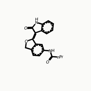 CCCC(=O)Nc1ccc2c(c1)/C(=C1/C(=O)Nc3ccccc31)OC2